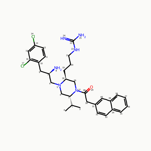 CC(C)[C@@H]1CN(C[C@H](N)Cc2ccc(Cl)cc2Cl)[C@@H](CCCNC(=N)N)CN1C(=O)Cc1ccc2ccccc2c1